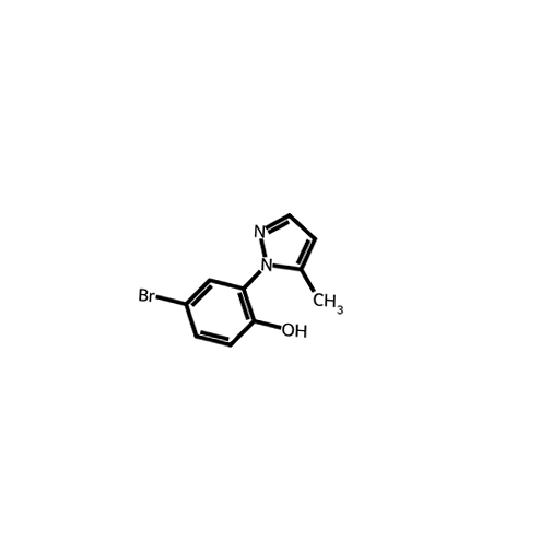 Cc1ccnn1-c1cc(Br)ccc1O